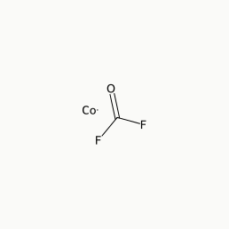 O=C(F)F.[Co]